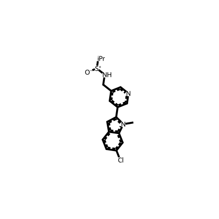 CC(C)[S+]([O-])NCc1cncc(-c2cc3ccc(Cl)cc3n2C)c1